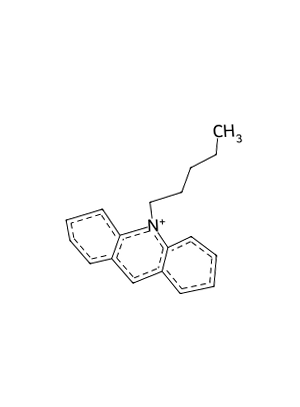 CCCCC[n+]1c2ccccc2cc2ccccc21